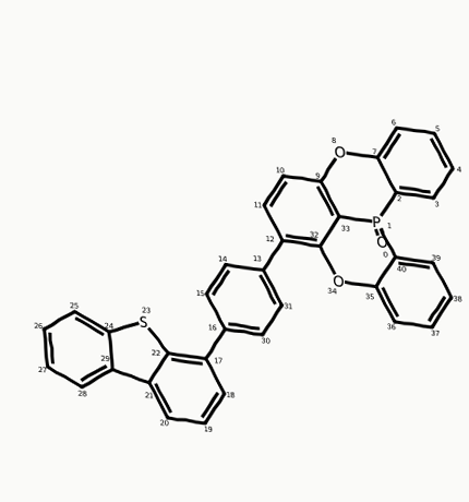 O=P12c3ccccc3Oc3ccc(-c4ccc(-c5cccc6c5sc5ccccc56)cc4)c(c31)Oc1ccccc12